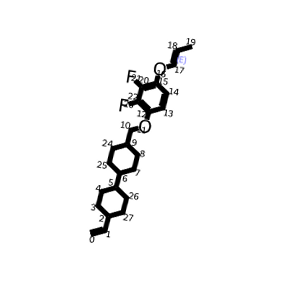 C=CC1CCC(C2CCC(COc3ccc(O/C=C/C)c(F)c3F)CC2)CC1